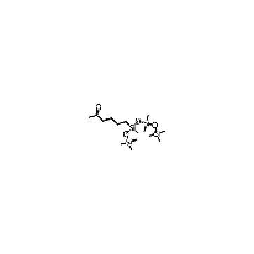 CC(=O)CCCC[Si](C)(O[Si](C)(C)C)O[Si](C)(C)O[Si](C)(C)C